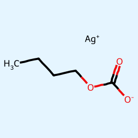 CCCCOC(=O)[O-].[Ag+]